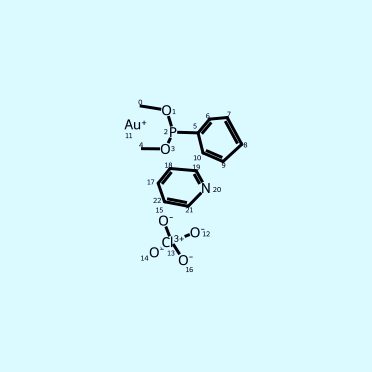 COP(OC)c1ccccc1.[Au+].[O-][Cl+3]([O-])([O-])[O-].c1ccncc1